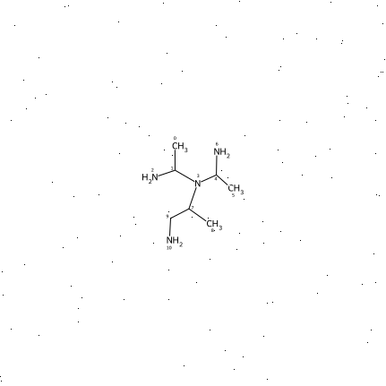 CC(N)N(C(C)N)C(C)CN